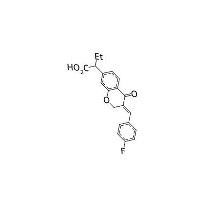 CCC(C(=O)O)c1ccc2c(c1)OCC(=Cc1ccc(F)cc1)C2=O